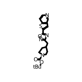 CC(C)(C)OC(=O)N1CCC(Cc2noc(-c3cc4cnccc4s3)n2)CC1